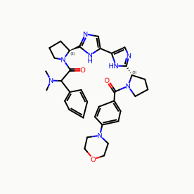 CN(C)C(C(=O)N1CCC[C@H]1c1ncc(-c2cnc([C@@H]3CCCN3C(=O)c3ccc(N4CCOCC4)cc3)[nH]2)[nH]1)c1ccccc1